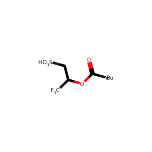 CCC(C)C(=O)OC(CS(=O)(=O)O)C(F)(F)F